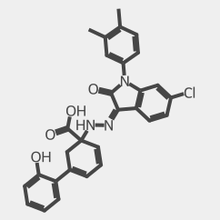 Cc1ccc(N2C(=O)C(=NNC3(C(=O)O)C=CC=C(c4ccccc4O)C3)c3ccc(Cl)cc32)cc1C